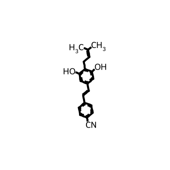 CC(C)=CCc1c(O)cc(C=Cc2ccc(C#N)cc2)cc1O